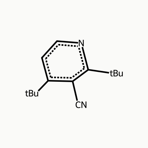 CC(C)(C)c1ccnc(C(C)(C)C)c1C#N